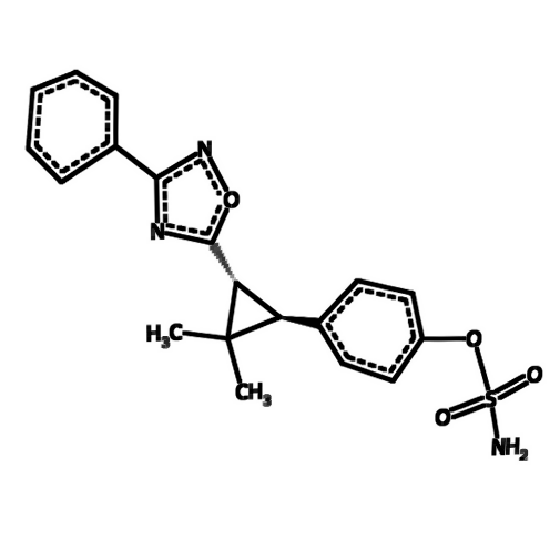 CC1(C)[C@H](c2ccc(OS(N)(=O)=O)cc2)[C@H]1c1nc(-c2ccccc2)no1